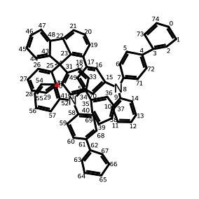 c1ccc(-c2ccc(N(c3ccccc3)c3cc(-c4cccc5c4C(c4ccccc4)(c4ccc(-c6ccccc6)cc4)c4ccccc4-5)cc(N(c4ccccc4)c4ccc(-c5ccccc5)cc4)c3)cc2)cc1